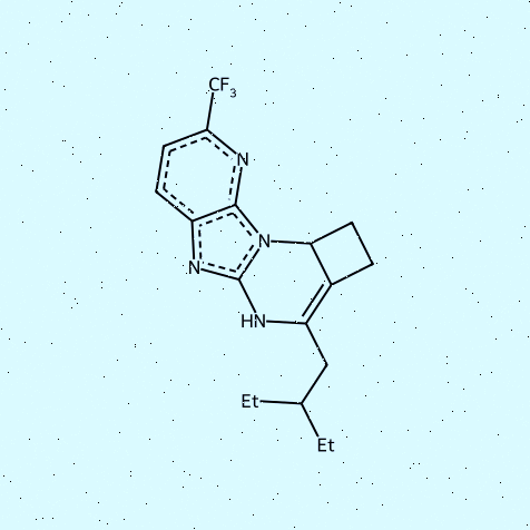 CCC(CC)CC1=C2CCC2n2c(nc3ccc(C(F)(F)F)nc32)N1